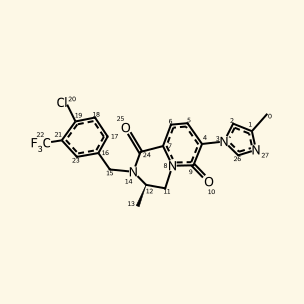 Cc1cn(-c2ccc3n(c2=O)C[C@@H](C)N(Cc2ccc(Cl)c(C(F)(F)F)c2)C3=O)cn1